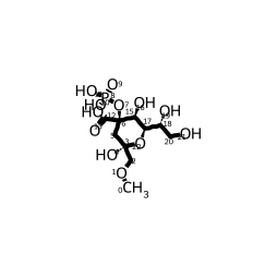 COC[C@@]1(O)C[C@](OP(=O)(O)O)(C(=O)O)[C@@H](O)[C@@H]([C@H](O)CO)O1